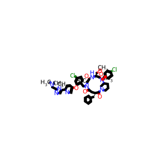 COC[C@@H]1NC(=O)[C@H](C)N(Cc2ccc(Cl)cc2Oc2ccc(-c3cnc(CN(C)C)n3C)nc2)C(=O)C[C@@H](Cc2ccccc2)C(=O)N2CCC[C@@](Cc3ccc(Cl)cc3)(C2)N(C)C1=O